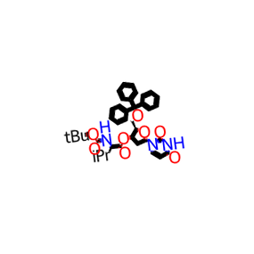 CC(C)[C@@H](NC(=O)OC(C)(C)C)C(=O)OC1C[C@H](n2ccc(=O)[nH]c2=O)O[C@@H]1COC(c1ccccc1)(c1ccccc1)c1ccccc1